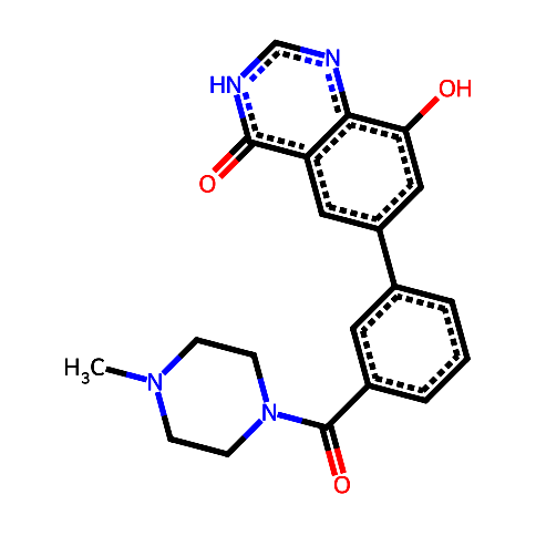 CN1CCN(C(=O)c2cccc(-c3cc(O)c4nc[nH]c(=O)c4c3)c2)CC1